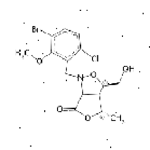 COc1c(Br)ccc(Cl)c1CN1O[C@@H](CO)C2C1C(=O)O[C@H]2C